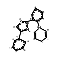 C1=CN(c2ccccc2-c2nc(-c3ccccc3)cs2)C=CC1